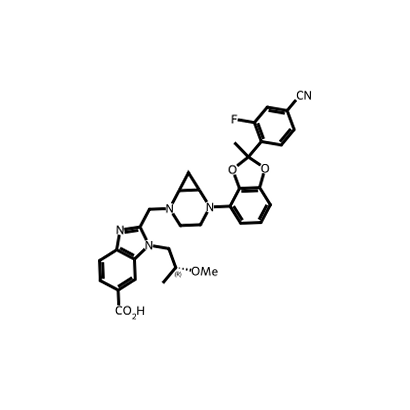 CO[C@H](C)Cn1c(CN2CCN(c3cccc4c3OC(C)(c3ccc(C#N)cc3F)O4)C3CC32)nc2ccc(C(=O)O)cc21